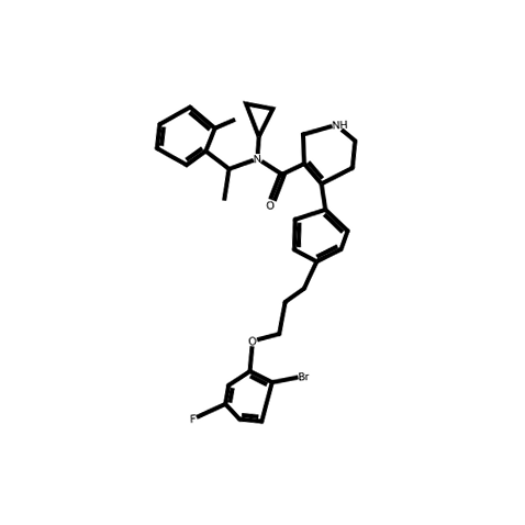 Cc1ccccc1C(C)N(C(=O)C1=C(c2ccc(CCCOc3cc(F)ccc3Br)cc2)CCNC1)C1CC1